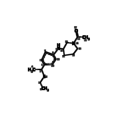 CCSC(C)c1ccc(NC2CCCN(C(C)=O)C2)cc1